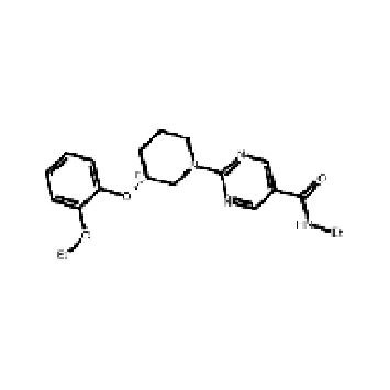 CCNC(=O)c1cnc(N2CCC[C@@H](Oc3ccccc3OCC)C2)nc1